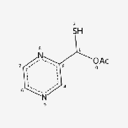 CC(=O)OC(S)c1cnccn1